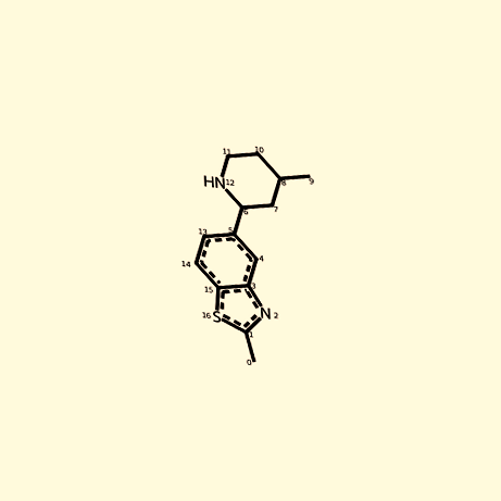 Cc1nc2cc(C3CC(C)CCN3)ccc2s1